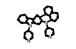 c1cc2c3c(cccc3c1)N(c1ccncc1)c1cc3c(cc1-2)c1ccccc1n3-c1ccncc1